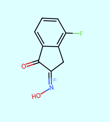 O=C1/C(=N\O)Cc2c(F)cccc21